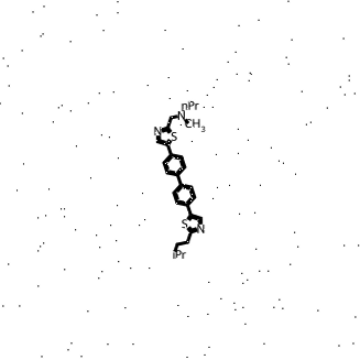 CCCN(C)Cc1ncc(-c2ccc(-c3ccc(-c4cnc(CCC(C)C)s4)cc3)cc2)s1